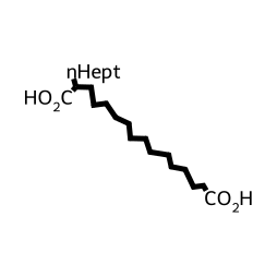 CCCCCCCC(CCCCCCCCCCCCCC(=O)O)C(=O)O